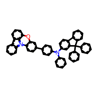 c1ccc(N(c2ccc(-c3ccc4c(c3)Oc3cccc5c6ccccc6n-4c35)cc2)c2ccc3c(c2)C(c2ccccc2)(c2ccccc2)c2ccccc2-3)cc1